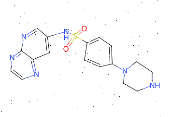 O=S(=O)(Nc1cnc2nccnc2c1)c1ccc(N2CCNCC2)cc1